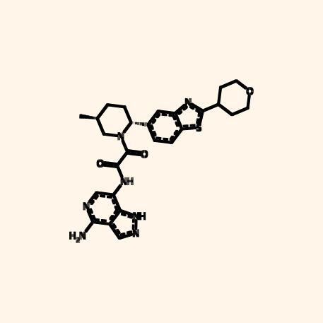 C[C@H]1CC[C@H](c2ccc3sc(C4CCOCC4)nc3c2)N(C(=O)C(=O)Nc2cnc(N)c3cn[nH]c23)C1